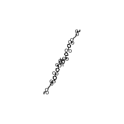 C=CC(=O)OCCCCOC(=O)Oc1ccc(C(=O)Oc2ccc(C(=O)O[C@H]3CC[C@H]4[C@@H]3OC[C@H]4OC(=O)c3ccc(OC(=O)c4ccc(OC(=O)OCCCCOC(=O)C=C)cc4)cc3)cc2)cc1